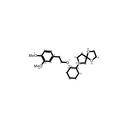 COc1ccc(CCO[C@H]2CCCCC2N2CCC3(C2)OCCO3)cc1OC